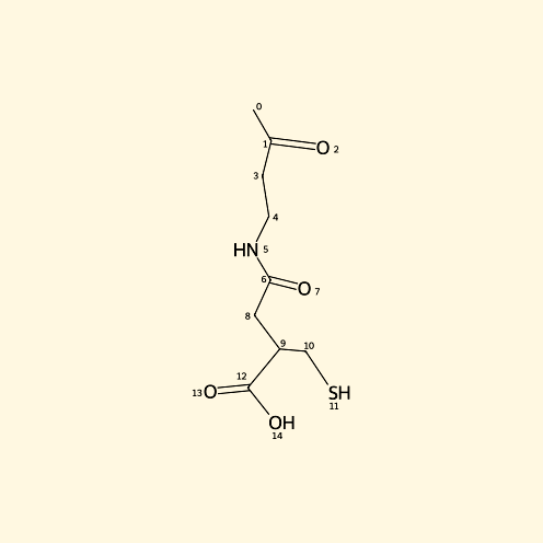 CC(=O)CCNC(=O)CC(CS)C(=O)O